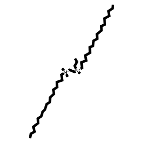 CCCCCCCCCCCCCCCCCC[N+](C)(C)CC[N+](C)(CCC)CCCCCCCCCCCCCCCCCC